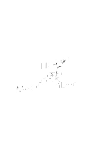 CCCCCCCCCCCC(=O)OC(COCOCCOC)C1=CC(=O)OC1O